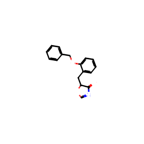 O=C1N=COC1Cc1ccccc1OCc1ccccc1